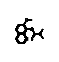 COc1ccc2cccnc2c1OC(=S)N(C)C